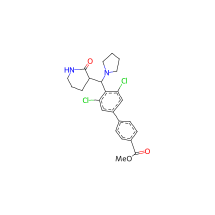 COC(=O)c1ccc(-c2cc(Cl)c(C(C3CCCNC3=O)N3CCCC3)c(Cl)c2)cc1